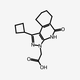 O=C(O)Cn1nc(C2CCC2)c2c3c(c(=O)[nH]c21)CCCC3